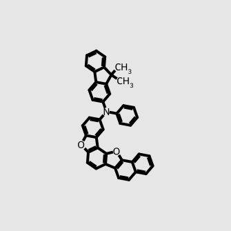 CC1(C)c2ccccc2-c2ccc(N(c3ccccc3)c3ccc4oc5ccc6c7ccc8ccccc8c7oc6c5c4c3)cc21